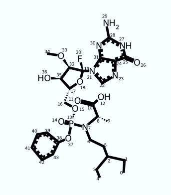 CCC(CC)CCN([C@@H](C)C(=O)O)[P@@](=O)(OC[C@H]1O[C@@](F)(n2cnc3c(=O)[nH]c(N)nc32)[C@H](OC)[C@@H]1O)Oc1ccccc1